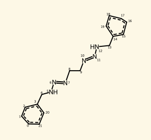 c1ccc(CNN=NCCN=NNCc2ccccc2)cc1